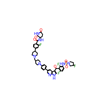 O=C1CC[C@@H](NC(=O)c2ccc(C3CCN(CC4CCN(c5ccc(-c6cnc7[nH]cc(C(=O)c8c(F)ccc(NS(=O)(=O)N9CC[C@@H](F)C9)c8F)c7c6)cc5)CC4)CC3)cc2F)C(=O)N1